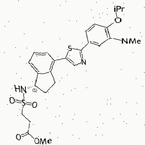 CNc1cc(-c2ncc(-c3cccc4c3CC[C@@H]4NS(=O)(=O)CCC(=O)OC)s2)ccc1OC(C)C